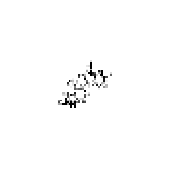 Cc1cnc2c(-c3ccc4nn(C)cc4c3Cl)c[nH]c2n1